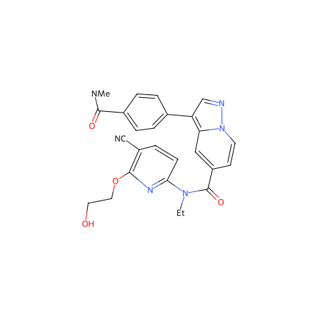 CCN(C(=O)c1ccn2ncc(-c3ccc(C(=O)NC)cc3)c2c1)c1ccc(C#N)c(OCCO)n1